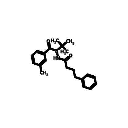 Cc1cccc(C(=O)N(NC(=O)CCCc2ccccc2)C(C)(C)C)c1